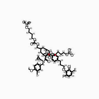 COc1ccc(CN(C(=O)C2=C(c3ccc(CCCOc4c(F)ccc(F)c4Cl)cc3)CC3CC(COC(=O)OCCCCO[N+](=O)[O-])CC2N3C(=O)OCCCCO[N+](=O)[O-])C2CC2)cc1C